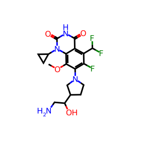 COc1c(N2CCC(C(O)CN)C2)c(F)c(C(F)F)c2c(=O)[nH]c(=O)n(C3CC3)c12